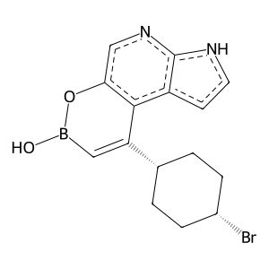 OB1C=C([C@H]2CC[C@@H](Br)CC2)c2c(cnc3[nH]ccc23)O1